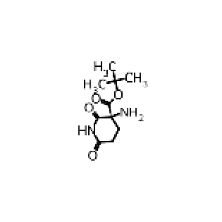 CC(C)(C)OC(=O)C1(N)CCC(=O)NC1=O